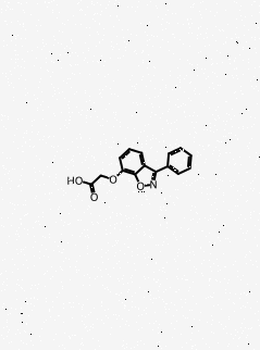 O=C(O)COc1cccc2c(-c3ccccc3)noc12